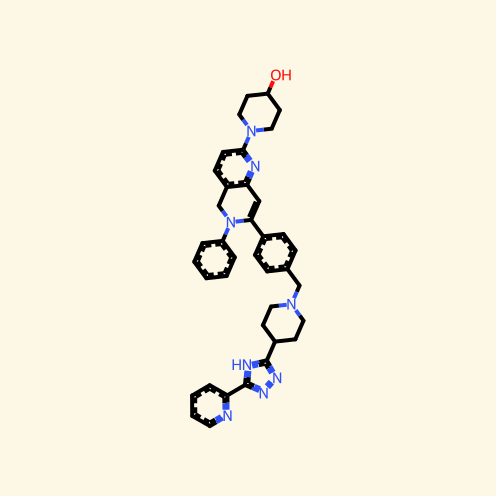 OC1CCN(c2ccc3c(n2)C=C(c2ccc(CN4CCC(c5nnc(-c6ccccn6)[nH]5)CC4)cc2)N(c2ccccc2)C3)CC1